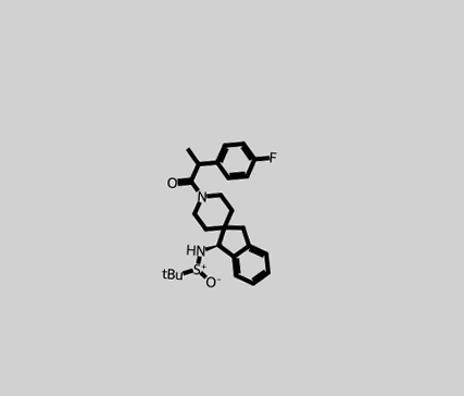 CC(C(=O)N1CCC2(CC1)Cc1ccccc1[C@H]2N[S+]([O-])C(C)(C)C)c1ccc(F)cc1